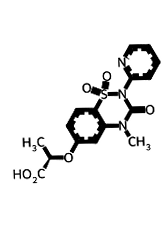 C[C@@H](Oc1ccc2c(c1)N(C)C(=O)N(c1ccccn1)S2(=O)=O)C(=O)O